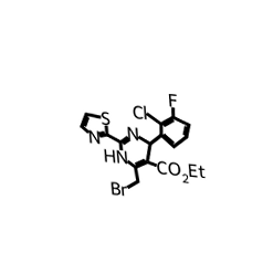 CCOC(=O)C1=C(CBr)NC(c2nccs2)=NC1c1cccc(F)c1Cl